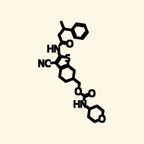 CC(CC(=O)Nc1sc2c(c1C#N)CCC(COC(=O)NC1CCOCC1)C2)c1ccccc1